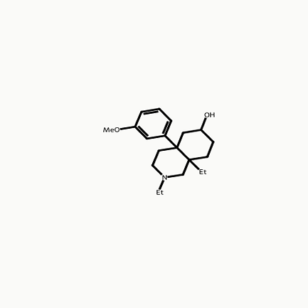 CCN1CCC2(c3cccc(OC)c3)CC(O)CCC2(CC)C1